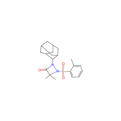 Cc1ccccc1S(=O)(=O)N1N(C2C3CC4CC(C3)CC2C4)C(=O)C1(C)C